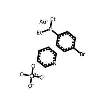 CCP(CC)c1ccc(Br)cc1.[Au+].[O-][Cl+3]([O-])([O-])[O-].c1ccncc1